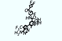 [2H]C([2H])([2H])Oc1nc(C)c(-c2cc(C(F)(F)F)c3c(N)ncnn23)cc1C(=O)N[C@@H]1CN(C(=O)C2CC(F)(F)C2)C[C@@H]1F